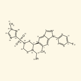 Cc1cc2c(cnn2-c2ccc(F)cc2)cc1[C@@H]1CN(S(=O)(=O)c2ncn(C)n2)CCN1CC(C)C